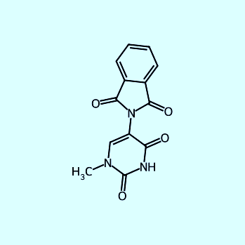 Cn1cc(N2C(=O)c3ccccc3C2=O)c(=O)[nH]c1=O